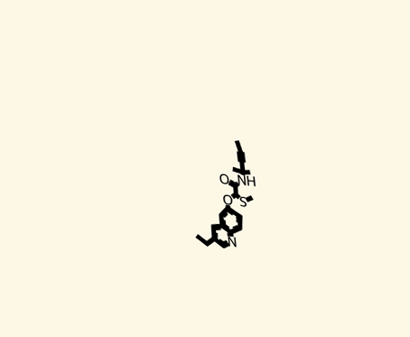 CC#CC(C)(C)NC(=O)C(Oc1ccc2ncc(CC)cc2c1)SC